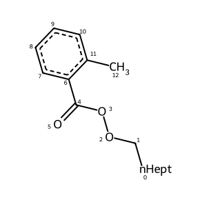 [CH2]CCCCCCCOOC(=O)c1ccccc1C